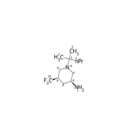 CCCC(C)(C)N1C[C@@H](N)C[C@@H](C(F)(F)F)C1